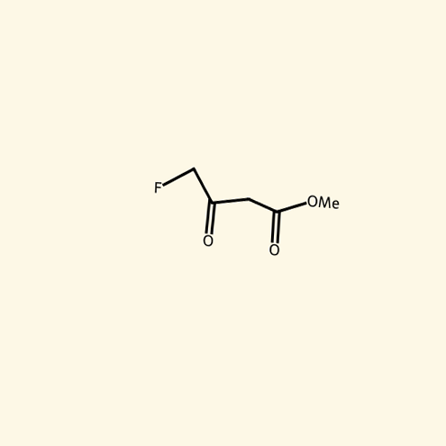 COC(=O)CC(=O)CF